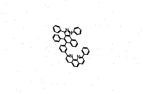 c1ccc(-c2ccc3ccc4ccc(-c5cccc(-c6c(-c7ccccc7)c7c(-c8ccccc8)nn(-c8ccccc8)c7c7ccccc67)c5)nc4c3n2)cc1